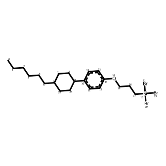 CCCCCCC1CCC(c2ccc(OCCC[Si](Br)(Br)Br)cc2)CC1